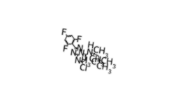 CC(C)(C)CC(C)(C)Nc1cc(Cl)nc2nc(-c3c(F)cc(F)cc3F)nn12